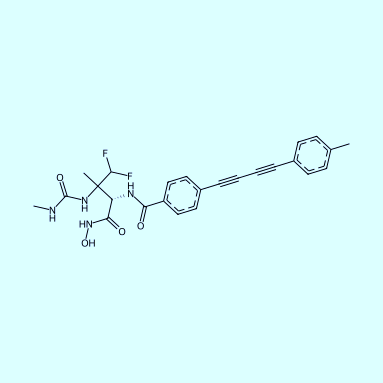 CNC(=O)NC(C)(C(F)F)[C@H](NC(=O)c1ccc(C#CC#Cc2ccc(C)cc2)cc1)C(=O)NO